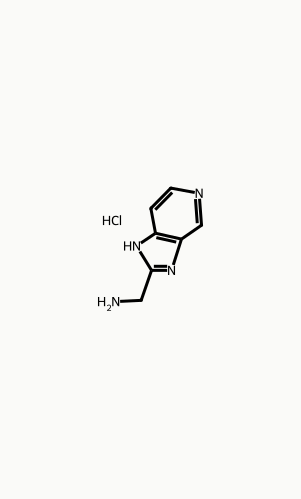 Cl.NCc1nc2cnccc2[nH]1